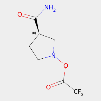 NC(=O)[C@@H]1CCN(OC(=O)C(F)(F)F)C1